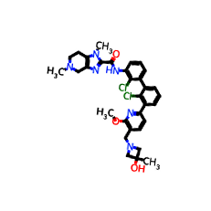 COc1nc(-c2cccc(-c3cccc(NC(=O)c4nc5c(n4C)CCN(C)C5)c3Cl)c2Cl)ccc1CN1CC(C)(O)C1